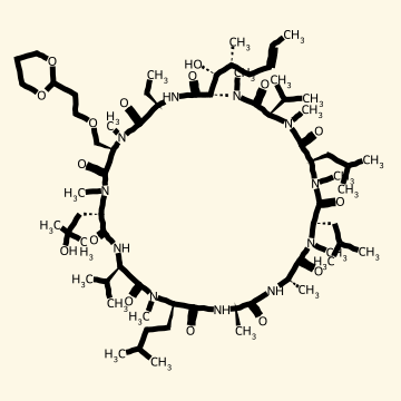 C/C=C/C[C@@H](C)[C@@H](O)[C@H]1C(=O)N[C@H](CC)C(=O)N(C)[C@H](COCCC2OCCCO2)C(=O)N(C)[C@@H](CC(C)(C)O)C(=O)N[C@H](C(C)C)C(=O)N(C)[C@H](CCC(C)C)C(=O)N[C@H](C)C(=O)N[C@@H](C)C(=O)N(C)[C@@H](CC(C)C)C(=O)N(C)[C@H](CC(C)C)C(=O)N(C)[C@H](C(C)C)C(=O)N1C